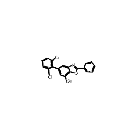 CC(C)(C)c1cc(-c2c(Cl)cccc2Cl)cc2nc(-c3ccccc3)oc12